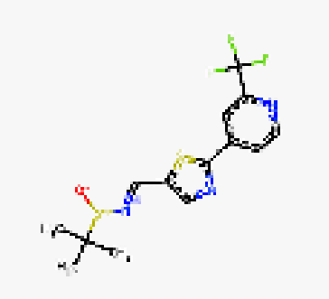 CC(C)(C)[S+]([O-])/N=C/c1cnc(-c2ccnc(C(F)(F)F)c2)s1